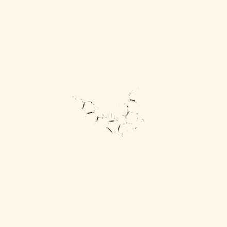 Cc1cc(C#N)cnc1C(=O)Nc1ccc(F)c([C@@]2(C)N=C(NC(=O)OC(C)(C)C)O[C@H](C(F)(F)F)[C@@H]2F)n1